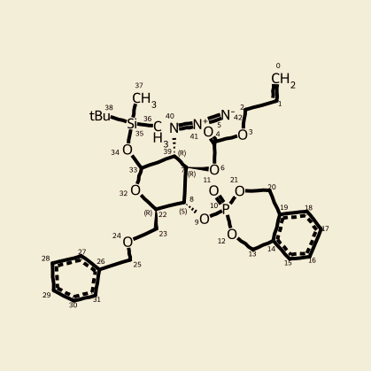 C=CCOC(=O)O[C@H]1[C@H](OP2(=O)OCc3ccccc3CO2)[C@@H](COCc2ccccc2)OC(O[Si](C)(C)C(C)(C)C)[C@@H]1N=[N+]=[N-]